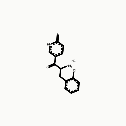 Cl.NC(Cc1ccccc1Cl)C(=O)c1ccc(=O)[nH]c1